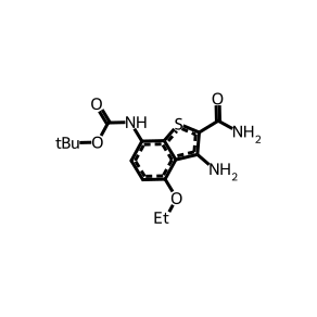 CCOc1ccc(NC(=O)OC(C)(C)C)c2sc(C(N)=O)c(N)c12